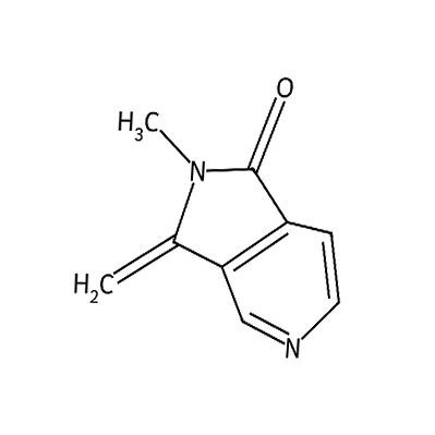 C=C1c2cnccc2C(=O)N1C